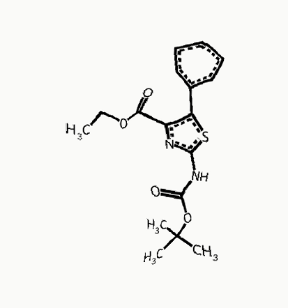 CCOC(=O)c1nc(NC(=O)OC(C)(C)C)sc1-c1ccccc1